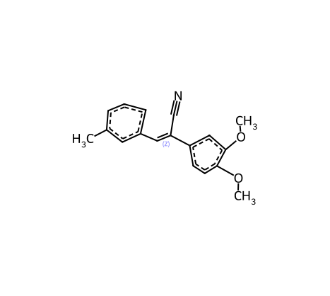 COc1ccc(/C(C#N)=C/c2cccc(C)c2)cc1OC